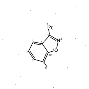 Cc1cccc2c(C(C)C)noc12